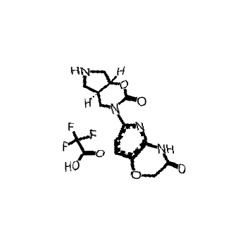 O=C(O)C(F)(F)F.O=C1COc2ccc(N3C[C@H]4CNC[C@@H]4OC3=O)nc2N1